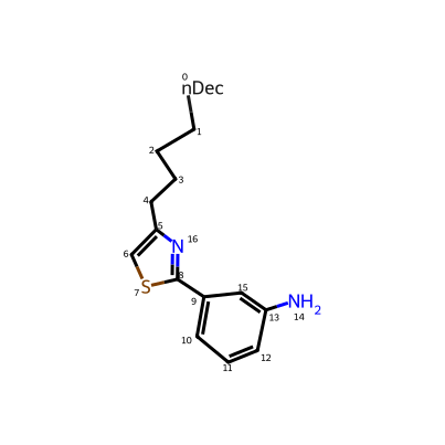 CCCCCCCCCCCCCCc1csc(-c2cccc(N)c2)n1